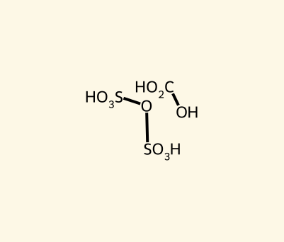 O=C(O)O.O=S(=O)(O)OS(=O)(=O)O